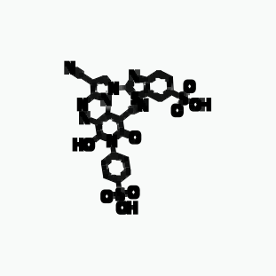 Cc1c(/N=N\c2nn(-c3nc4ccc(S(=O)(=O)O)cc4s3)cc2C#N)c(O)n(-c2ccc(S(=O)(=O)O)cc2)c(=O)c1C#N